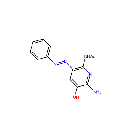 CC(=O)Nc1nc(N)c(O)cc1/N=N/c1ccccc1